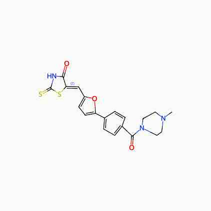 CN1CCN(C(=O)c2ccc(-c3ccc(/C=C4\SC(=S)NC4=O)o3)cc2)CC1